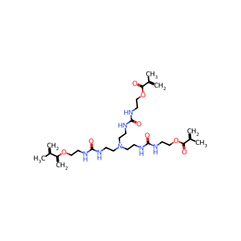 C=C(C)C(=C)OCCNC(=O)NCCN(CCNC(=O)NCCOC(=O)C(=C)C)CCNC(=O)NCCOC(=O)C(=C)C